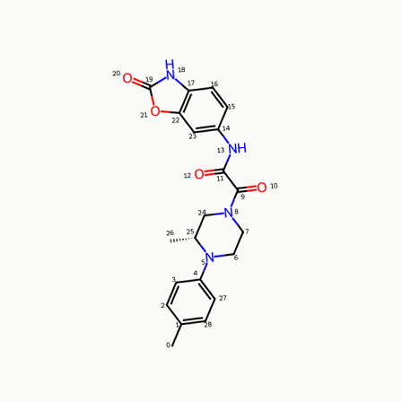 Cc1ccc(N2CCN(C(=O)C(=O)Nc3ccc4[nH]c(=O)oc4c3)C[C@H]2C)cc1